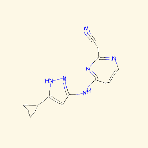 N#Cc1nccc(Nc2cc(C3CC3)[nH]n2)n1